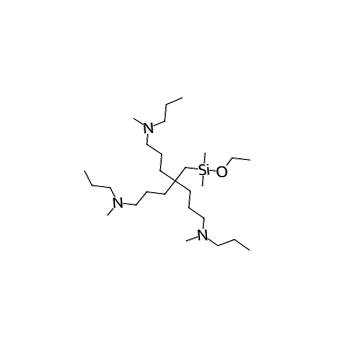 CCCN(C)CCCC(CCCN(C)CCC)(CCCN(C)CCC)C[Si](C)(C)OCC